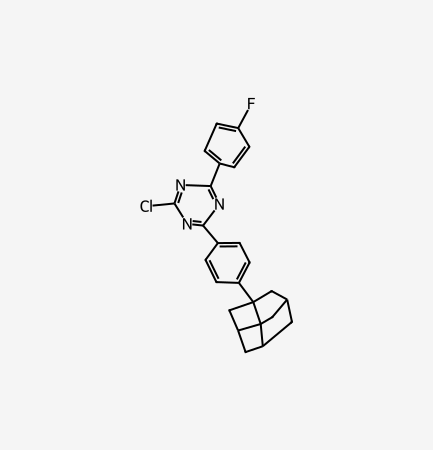 Fc1ccc(-c2nc(Cl)nc(-c3ccc(C45CC6CC7CC(C4)C75C6)cc3)n2)cc1